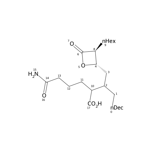 CCCCCCCCCCCC(C[C@@H]1OC(=O)[C@H]1CCCCCC)C(CCCC(N)=O)C(=O)O